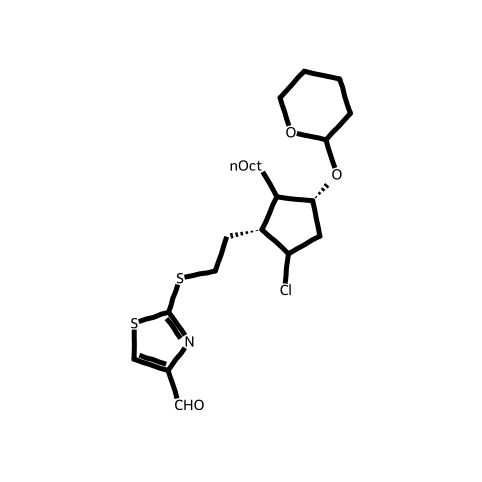 CCCCCCCCC1[C@@H](CCSc2nc(C=O)cs2)C(Cl)C[C@H]1OC1CCCCO1